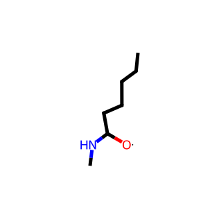 CCCCCC([O])NC